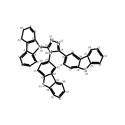 C1=Cc2c(c3ccccc3n2-c2nnc(-c3ccc4sc5ccccc5c4c3)n2-c2ccc3sc4ccccc4c3c2)CC1